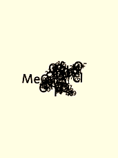 COc1ccc(S(=O)(=O)N2CCS[C@H]2C(=O)O[C@@H](Cc2c(Cl)c[n+]([O-])cc2Cl)c2ccc(OC(F)F)c(OCC3CC3)c2)cc1C(=O)N1CCOCC1